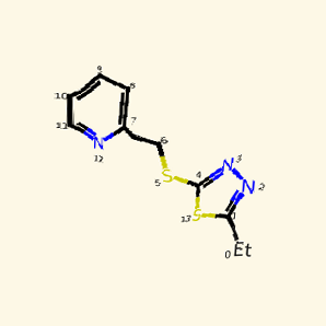 CCc1nnc(SCc2ccccn2)s1